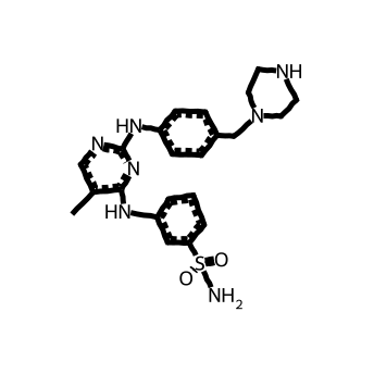 Cc1cnc(Nc2ccc(CN3CCNCC3)cc2)nc1Nc1cccc(S(N)(=O)=O)c1